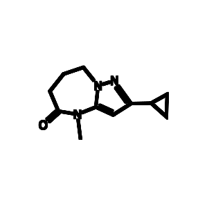 CN1C(=O)CCCn2nc(C3CC3)cc21